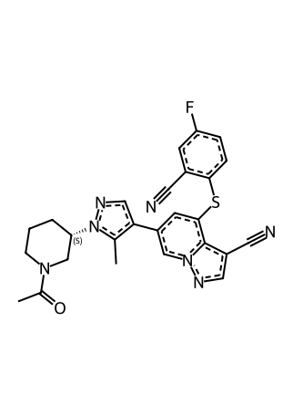 CC(=O)N1CCC[C@H](n2ncc(-c3cc(Sc4ccc(F)cc4C#N)c4c(C#N)cnn4c3)c2C)C1